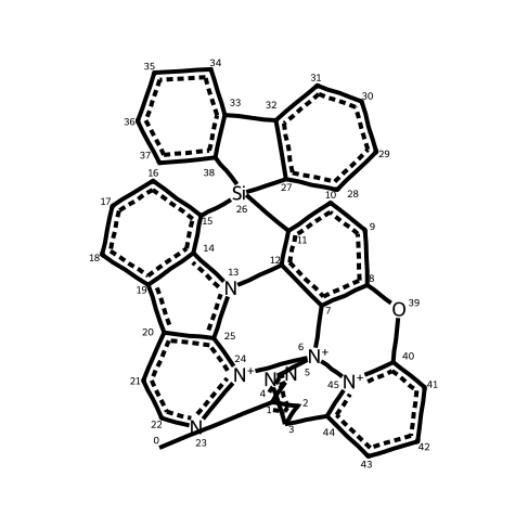 Cc1cc2n(n1)[N+]13c4c(ccc5c4-n4c6c(cccc6c6ccn[n+]1c64)[Si]51c4ccccc4-c4ccccc41)Oc1cccc-2[n+]13